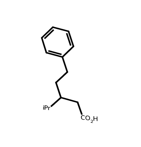 CC(C)C(CCc1ccccc1)CC(=O)O